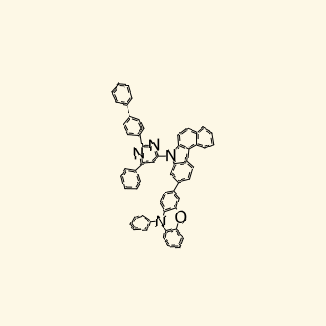 c1ccc(-c2ccc(-c3nc(-c4ccccc4)cc(-n4c5cc(-c6ccc7c(c6)Oc6ccccc6N7c6ccccc6)ccc5c5c6ccccc6ccc54)n3)cc2)cc1